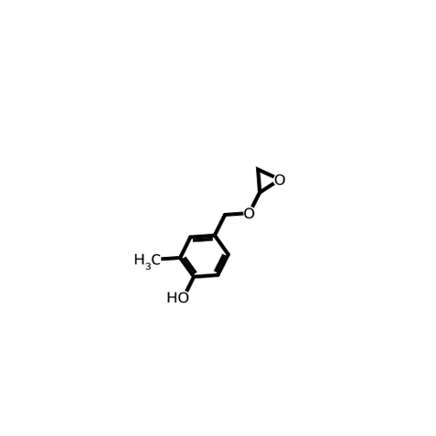 Cc1cc(COC2CO2)ccc1O